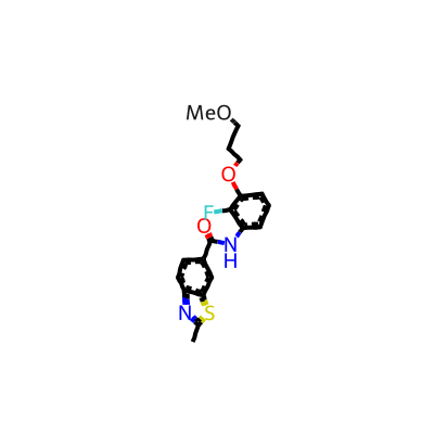 COCCCOc1cccc(NC(=O)c2ccc3nc(C)sc3c2)c1F